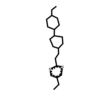 CCc1cnc(CCC2CCC(C3CCC(CC)CC3)CC2)nc1